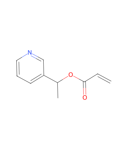 C=CC(=O)OC(C)c1cccnc1